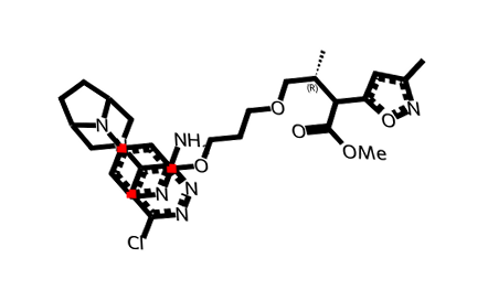 COC(=O)C(c1cc(C)no1)[C@@H](C)COCCCOc1cc(N2C3CCC2CN(c2cc(Cl)nnc2N)C3)ccn1